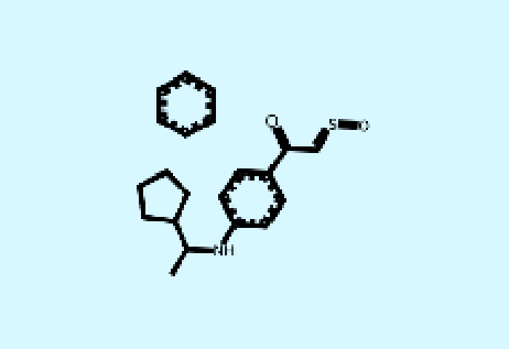 CC(Nc1ccc(C(=O)C=S=O)cc1)C1CCCC1.c1ccccc1